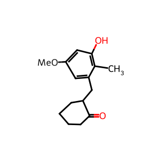 COc1cc(O)c(C)c(CC2CCCCC2=O)c1